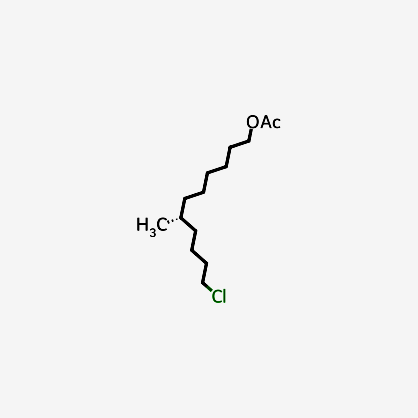 CC(=O)OCCCCCC[C@@H](C)CCCCCl